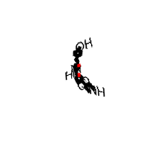 O=S(=O)(c1ccc(Nc2ncc(/C=C/c3ccc(O)cc3)cn2)cc1)C1CCNCC1